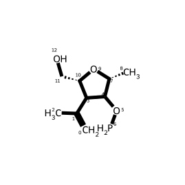 C=C(C)C1C(OP)[C@@H](C)O[C@H]1CO